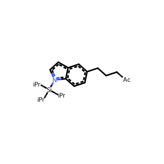 CC(=O)CCCc1ccc2c(ccn2[Si](C(C)C)(C(C)C)C(C)C)c1